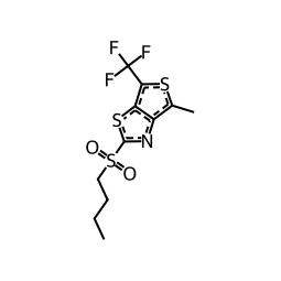 CCCCS(=O)(=O)c1nc2c(C)sc(C(F)(F)F)c2s1